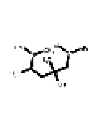 CCCN(CC)CC(C)(C)CC(C)N(C)CCC